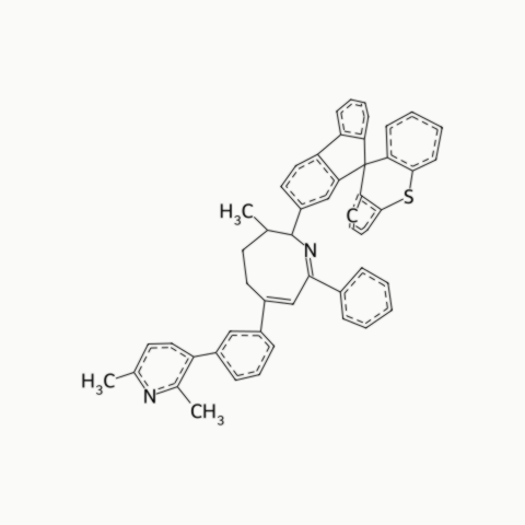 Cc1ccc(-c2cccc(/C3=C/C(c4ccccc4)=N\C(c4ccc5c(c4)C4(c6ccccc6Sc6ccccc64)c4ccccc4-5)C(C)CC3)c2)c(C)n1